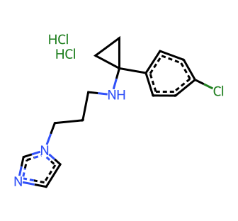 Cl.Cl.Clc1ccc(C2(NCCCn3ccnc3)CC2)cc1